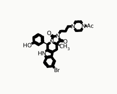 CC(=O)N1CCN(CCCN2C(=O)N3[C@H](c4cccc(O)c4)c4[nH]c5ccc(Br)cc5c4C[C@@]3(C)C2=O)CC1